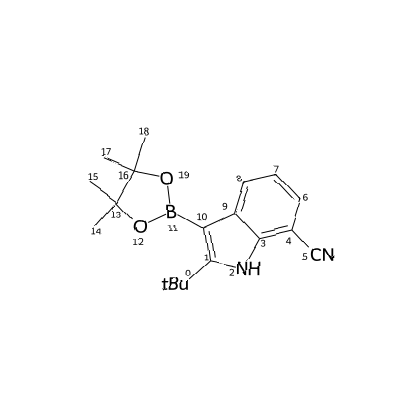 CC(C)(C)c1[nH]c2c(C#N)cccc2c1B1OC(C)(C)C(C)(C)O1